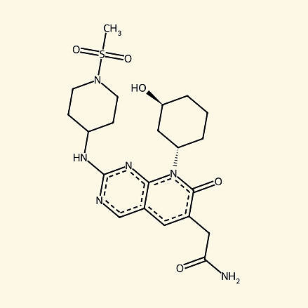 CS(=O)(=O)N1CCC(Nc2ncc3cc(CC(N)=O)c(=O)n([C@H]4CCC[C@H](O)C4)c3n2)CC1